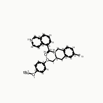 CC(C)(C)Oc1ccc(OC[C@@H]2Cc3cc(F)ccc3CN2C(=O)c2cccc3cnccc23)cc1